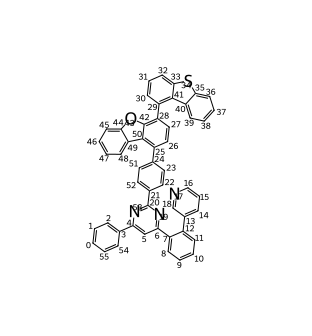 c1ccc(-c2cc(-c3ccccc3-c3cccnc3)nc(-c3ccc(-c4ccc(-c5cccc6sc7ccccc7c56)c5oc6ccccc6c45)cc3)n2)cc1